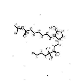 CCCCC(F)(F)C(=O)CC[C@H]1CC[C@H](O)[C@@H]1CCCCCCC(=O)OC(C)C